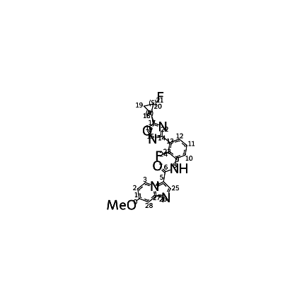 COc1ccn2c(C(=O)Nc3cccc(-c4noc([C@H]5C[C@@H]5F)n4)c3F)cnc2c1